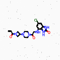 C=CC(=O)N1CC(N2CCN(C(=O)CNc3cc(Cl)cc4[nH]c(=O)[nH]c34)CC2)C1